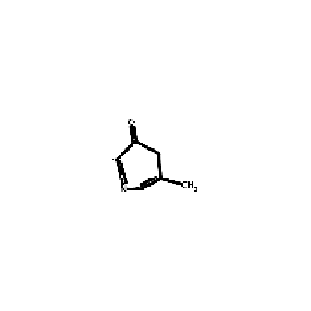 CC1=CN=[C]C(=O)C1